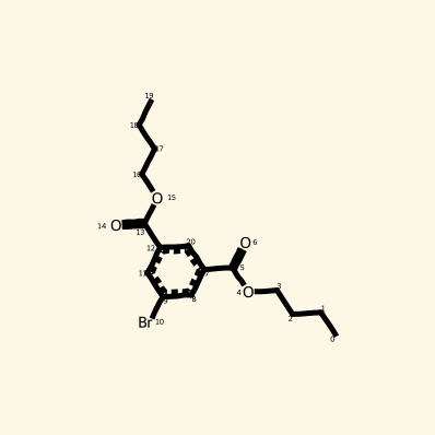 CCCCOC(=O)c1cc(Br)cc(C(=O)OCCCC)c1